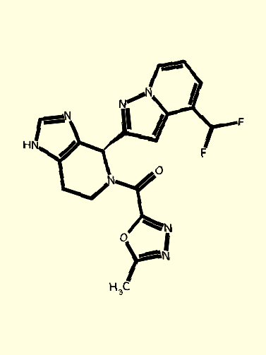 Cc1nnc(C(=O)N2CCc3[nH]cnc3[C@H]2c2cc3c(C(F)F)cccn3n2)o1